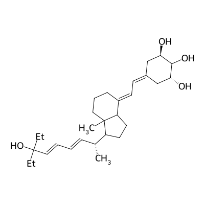 CCC(O)(/C=C/C=C/[C@@H](C)C1CCC2/C(=C/C=C3C[C@@H](O)C(O)[C@H](O)C3)CCCC21C)CC